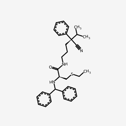 CCSC[C@@H](NC(c1ccccc1)c1ccccc1)C(=O)NCCC[C@@](C#N)(c1ccccc1)C(C)C